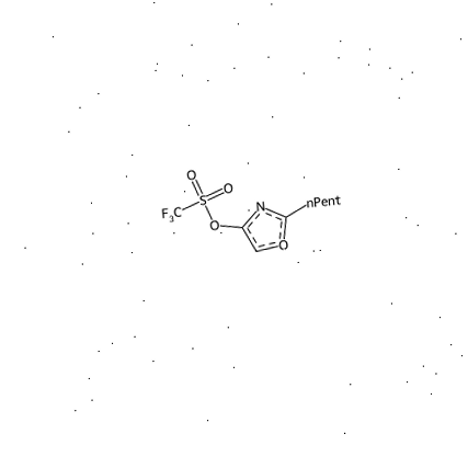 CCCCCc1nc(OS(=O)(=O)C(F)(F)F)co1